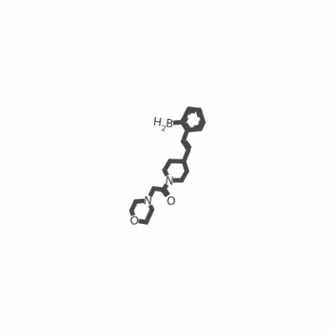 Bc1ccccc1/C=C/C1CCN(C(=O)CN2CCOCC2)CC1